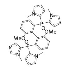 COc1cccc(P(=O)(c2cccn2C)c2cccn2C)c1-c1c(OC)cccc1P(=O)(c1cccn1C)c1cccn1C